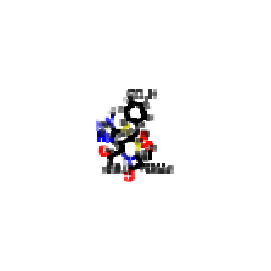 CO[C@H]1C(=O)N2C(C(=O)C(C)(C)C)=C(C)C(Cc3ccc(C(=O)O)cc3)(Sc3nnnn3C)S(=O)(=O)[C@@H]12